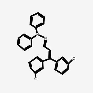 Clc1cccc(C(=CC=NN(c2ccccc2)c2ccccc2)c2cccc(Cl)c2)c1